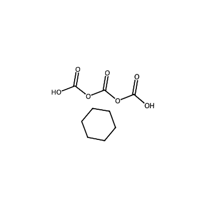 C1CCCCC1.O=C(O)OC(=O)OC(=O)O